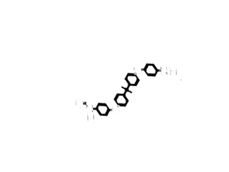 CC(C)(c1ccc(Oc2ccc(N)cc2)cc1)c1ccc(Oc2ccc(NC=O)cc2)cc1